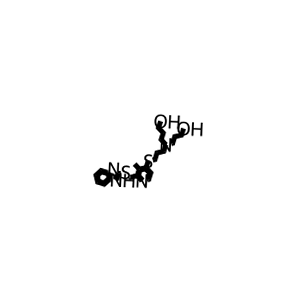 Cc1c(SCCCN(CCCO)CCCO)ccnc1CSc1nc2ccccc2[nH]1